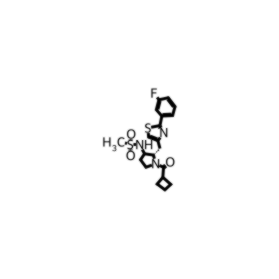 CS(=O)(=O)NC1CCN(C(=O)C2CCC2)[C@H]1Cc1csc(-c2cccc(F)c2)n1